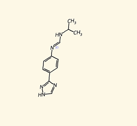 CC(C)N/C=N/c1ccc(-c2nc[nH]n2)cc1